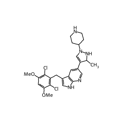 COc1cc(OC)c(Cl)c(Cc2c[nH]c3ncc(C4=CN(C5CCNCC5)NC4C)cc23)c1Cl